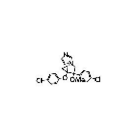 COC(Cn1ccnc1)(c1ccc(Cl)cc1)C1(Oc2ccc(Cl)cc2)CC1